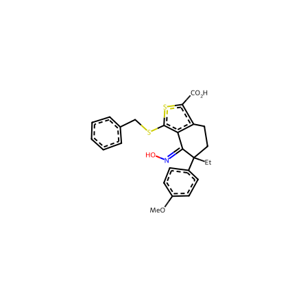 CCC1(c2ccc(OC)cc2)CCc2c(C(=O)O)sc(SCc3ccccc3)c2C1=NO